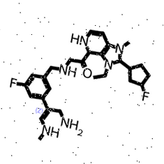 CCN1C2=C(C=CNC2C(=O)CNCc2cc(F)cc(/C(=C/NC)CN)c2)N(C)C1C1CCC(F)C1